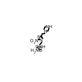 NS(=O)(=O)NCCn1cc(CCN2CCNCC2)nc1[N+](=O)[O-]